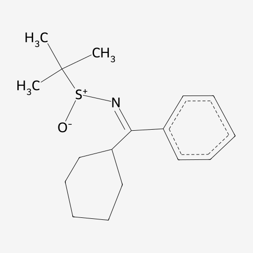 CC(C)(C)[S+]([O-])/N=C(/c1ccccc1)C1CCCCC1